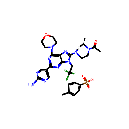 CC(=O)N1CCN(c2nc3c(N4CCOCC4)nc(-c4cnc(N)nc4)nc3n2CC(F)(F)F)C[C@H]1C.Cc1ccc(S(=O)(=O)O)cc1